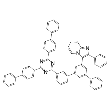 c1ccc(-c2ccc(-c3nc(-c4ccc(-c5ccccc5)cc4)nc(-c4cccc(-c5cc(-c6ccccc6)cc(-c6c(-c7ccccc7)nc7ccccn67)c5)c4)n3)cc2)cc1